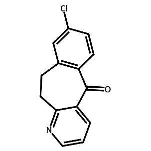 O=C1c2ccc(Cl)cc2CCc2ncccc21